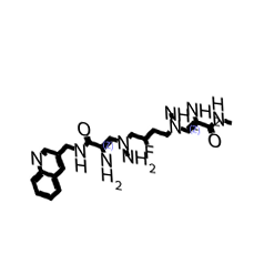 CNC(=O)/C(N)=C/N(N)CCC(F)CN(N)/C=C(\N)C(=O)NCc1cnc2ccccc2c1